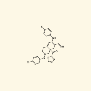 N=CC1=C(Nc2ccc(F)cc2)C=C2CCN(Sc3ccc(Cl)nc3)CC2(C(=O)c2nccs2)C1